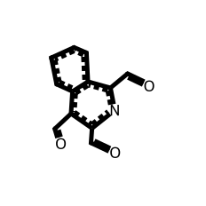 O=Cc1nc(C=O)c2ccccc2c1C=O